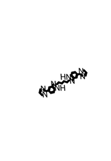 c1cnc(-c2ccc3[nH]c(CCCCc4nc5cc(-c6ncccn6)ccc5[nH]4)nc3c2)nc1